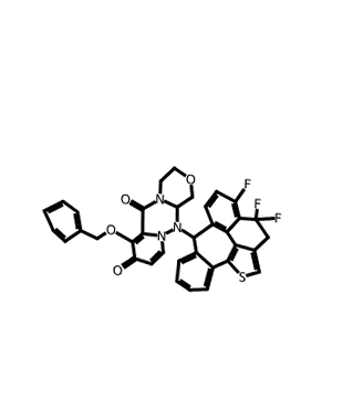 O=C1c2c(OCc3ccccc3)c(=O)ccn2N(C2c3ccccc3-c3scc4c3-c3c2ccc(F)c3C(F)(F)C4)C2COCCN12